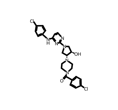 O=C(c1ccc(Cl)cc1)N1CCN([C@@H]2CN(c3nccc(Nc4ccc(Cl)cc4)n3)C[C@H]2O)CC1